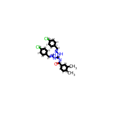 Cc1ccc(C(=O)N=C(N/N=C/c2ccc(Cl)cc2)N/N=C/c2ccc(Cl)cc2)cc1C